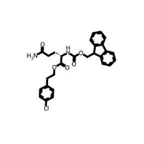 NC(=O)CC[C@H](NC(=O)OCC1c2ccccc2-c2ccccc21)C(=O)OCCc1ccc(Cl)cc1